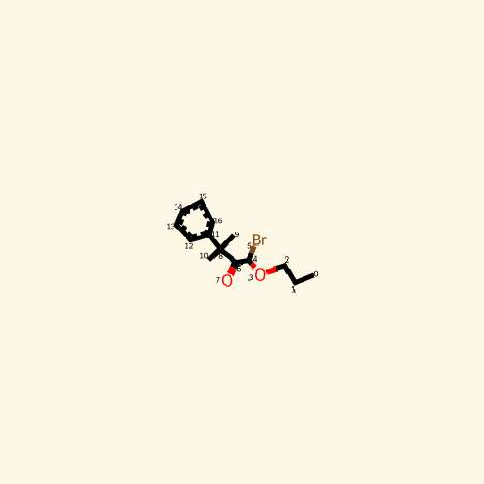 CCCOC(Br)C(=O)C(C)(C)c1ccccc1